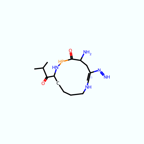 CC(C)C(=O)C1CCCCN/C=C(\N=N)CC(N)C(=O)PN1